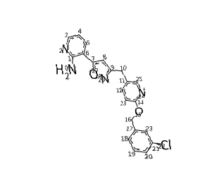 Nc1ncccc1-c1cc(Cc2ccc(OCc3cccc(Cl)c3)nc2)no1